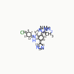 CNN1CCC(Nc2ccc(Cl)cc2)c2cc(-c3cncnc3)ccc2/C1=C(\C)N